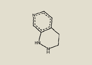 c1cc2c(cn1)NNCC2